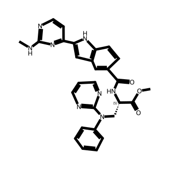 CNc1nccc(-c2cc3cc(C(=O)N[C@@H](CN(c4ccccc4)c4ncccn4)C(=O)OC)ccc3[nH]2)n1